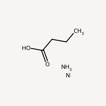 CCCC(=O)O.N.[N]